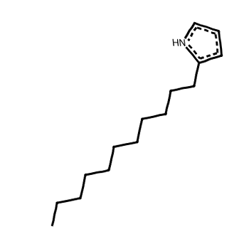 CCCCCCCCCCCc1ccc[nH]1